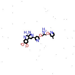 COc1cc2ncc3c(N)nc(-c4cncc(OC[C@@H](N)COc5cc(C)ccn5)c4)cc3c2cc1OC